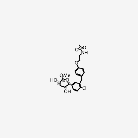 CO[C@H]1O[C@@H](c2ccc(Cl)c(Cc3ccc(OCCNS(C)(=O)=O)cc3)c2)[C@H](O)C[C@@H]1O